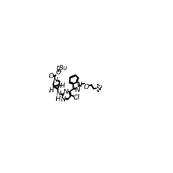 CC(C)(C)OC(=O)N1C[C@@H]2C(Nc3ncc(Cl)c(-c4nn(COCC[Si](C)(C)C)c5ccccc45)n3)[C@@H]2C1